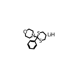 [LiH].c1ccc(C2(N3CCOCC3)SCCCS2)cc1